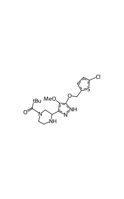 COc1c(C2CN(C(=O)C(C)(C)C)CCN2)n[nH]c1OCc1ccc(Cl)s1